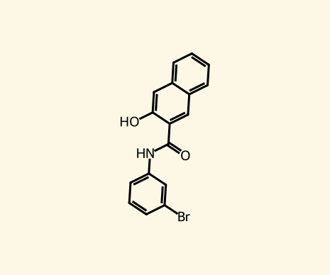 O=C(Nc1cccc(Br)c1)c1cc2ccccc2cc1O